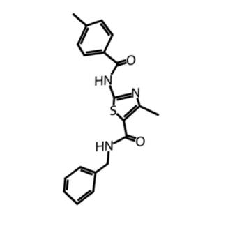 Cc1ccc(C(=O)Nc2nc(C)c(C(=O)NCc3ccccc3)s2)cc1